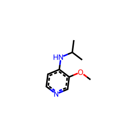 COc1cnccc1NC(C)C